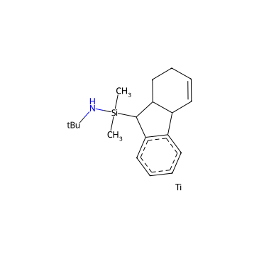 CC(C)(C)N[Si](C)(C)C1c2ccccc2C2C=CCCC21.[Ti]